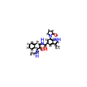 CCc1c[nH]c2c(N3CCCC3=O)cc(C(=O)N[C@@H](Cc3ccccc3)[C@@H](O)CNC(C)C)cc12